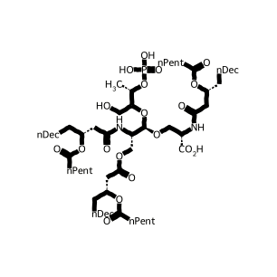 CCCCCCCCCCC[C@H](CC(=O)N[C@@H](CO[C@H](OC(CO)[C@H](C)OP(=O)(O)O)[C@H](COC(=O)C[C@@H](CCCCCCCCCCC)OC(=O)CCCCC)NC(=O)C[C@@H](CCCCCCCCCCC)OC(=O)CCCCC)C(=O)O)OC(=O)CCCCC